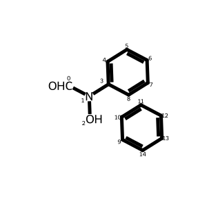 O=CN(O)c1ccccc1.c1ccccc1